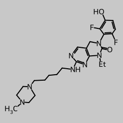 CCN1C(=O)N(c2c(F)ccc(O)c2F)Cc2cnc(NCCCCCN3CCN(C)CC3)nc21